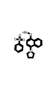 CCCCOc1ccc([S+]2CCCC2)c2ccccc12.O=S(=O)([O-])c1ccccc1